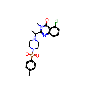 Cc1ccc(S(=O)(=O)N2CCN(C(C)c3nc4cccc(Cl)c4c(=O)n3C)CC2)cc1